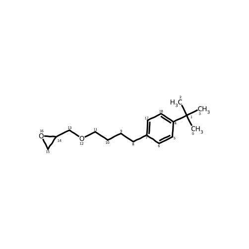 CC(C)(C)c1ccc(CCCCOCC2CO2)cc1